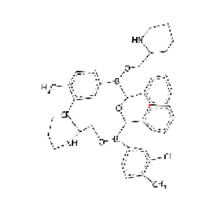 Cc1ccc(B(OCC2CCCCN2)C(OC(B(OCC2CCCCN2)c2ccc(C)c(Cl)c2)c2ccccc2)c2ccccc2)cc1Cl